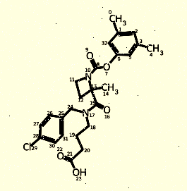 Cc1cc(C)cc(OC(=O)N2CCC2(C)C(=O)N(CCCC(=O)O)Cc2ccc(Cl)cc2)c1